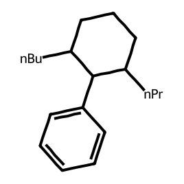 CCCCC1CCCC(CCC)C1c1ccccc1